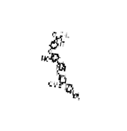 COc1cc(Nc2nccc(-c3ccc(OC4CCN(C(=O)[C@H](C)O)CC4)c(C#N)c3)n2)ncc1N1CCN(C2COC2)CC1